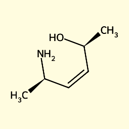 C[C@H](O)/C=C\[C@@H](C)N